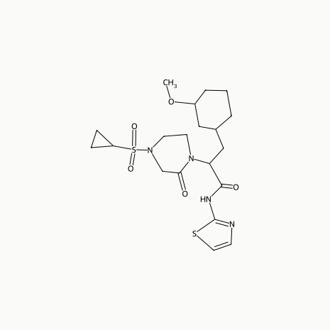 COC1CCCC(CC(C(=O)Nc2nccs2)N2CCN(S(=O)(=O)C3CC3)CC2=O)C1